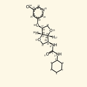 O=C(NC1CCCCC1)N[C@H]1CO[C@H]2[C@@H]1OC[C@@H]2Oc1cncc(Cl)c1